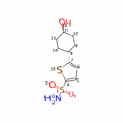 NS(=O)(=O)c1ccc([C@H]2CC[C@H](O)CC2)s1